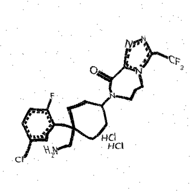 Cl.Cl.NCC1(c2cc(Cl)ccc2F)CCC(N2CCn3c(nnc3C(F)(F)F)C2=O)CC1